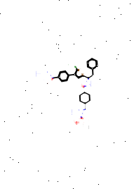 CC(C)(C)OC(=O)NC[C@H]1CC[C@H](C(=O)NC(Cc2ccccc2)c2cc(-c3ccc(C(N)=O)cc3)c(Cl)s2)CC1